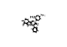 CC(=O)C[C@@H]1CC[C@H](NC(=O)[C@H](NC(=O)C2CCNC(=O)C2=O)c2ccccc2)B(O)O1